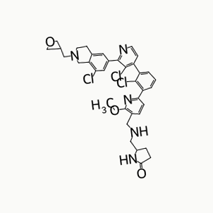 COc1nc(-c2cccc(-c3ccnc(-c4cc(Cl)c5c(c4)CCN(CC4COC4)C5)c3Cl)c2Cl)ccc1CNCC1CCC(=O)N1